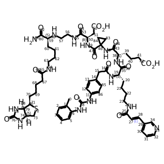 Cc1ccccc1NC(=O)Nc1ccc(CC(=O)N[C@@H](CCCCNC(=O)/C=C/c2cccnc2)C(=O)N[C@@H](CCCC(=O)O)C(=O)NC2(C(=O)N[C@H](CC(=O)O)C(=O)NCCN[C@@H](CCCCNC(=O)CCCC[C@H]3SC[C@H]4NC(=O)N[C@H]43)C(N)=O)CC2)cc1